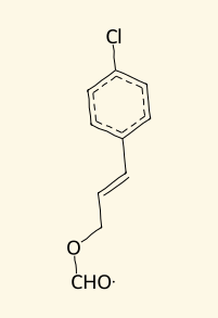 O=[C]OCC=Cc1ccc(Cl)cc1